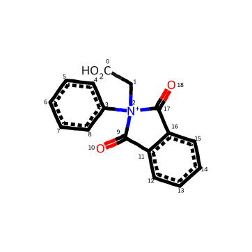 O=C(O)C[N+]1(c2ccccc2)C(=O)c2ccccc2C1=O